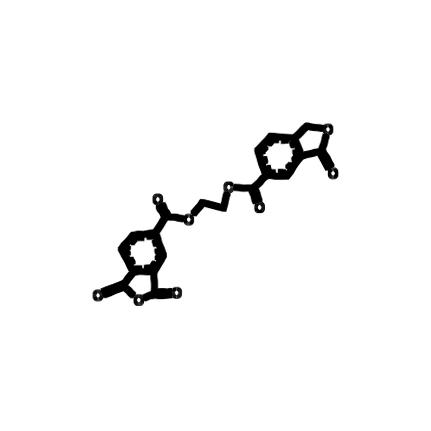 O=C(OCCOC(=O)c1ccc2c(c1)C(=O)OC2=O)c1ccc2c(c1)C(=O)OC2